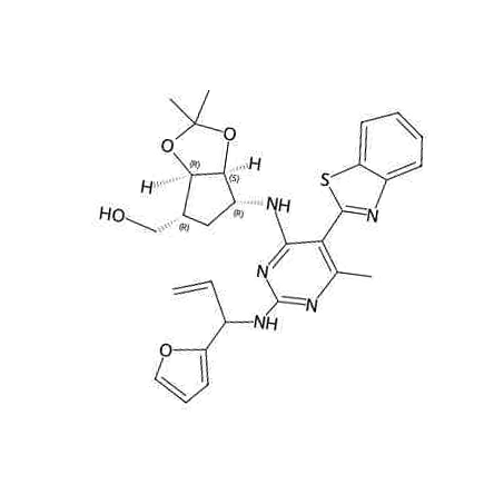 C=CC(Nc1nc(C)c(-c2nc3ccccc3s2)c(N[C@@H]2C[C@H](CO)[C@H]3OC(C)(C)O[C@H]32)n1)c1ccco1